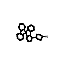 CCc1ccc(-c2cccc3c2-c2ccccc2C32c3ccccc3-c3ccccc32)cc1